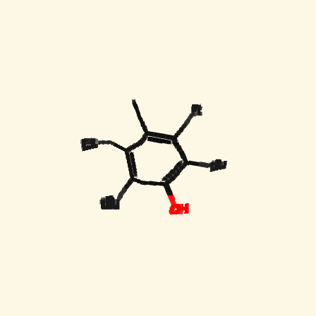 CCc1c(C)c(CC)c(C(C)(C)C)c(O)c1C(C)(C)C